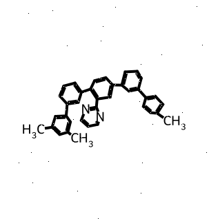 Cc1ccc(-c2cccc(-c3ccc(-c4cccc(-c5cc(C)cc(C)c5)c4)c(-c4ncccn4)c3)c2)cc1